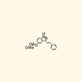 COP(C)(=O)Oc1ccc2[nH]nc(C=Cc3ccccc3)c2c1